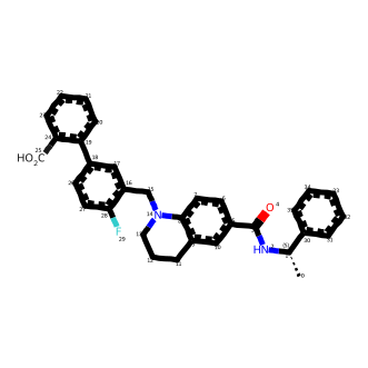 C[C@H](NC(=O)c1ccc2c(c1)CCCN2Cc1cc(-c2ccccc2C(=O)O)ccc1F)c1ccccc1